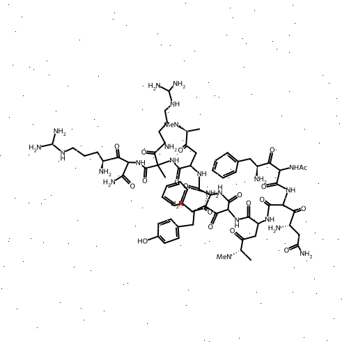 CN[C@@H](C)C(=O)CC(NC(=O)C(NC(=O)C(NC(C)=O)C(=O)[C@@H](N)Cc1ccccc1)C(=O)[C@@H](N)CC(N)=O)C(=O)NC(C(=O)NC(C(=O)NC(CC(=O)[C@H](C)NC)C(=O)NC(C)(C(=O)NC(C(N)=O)C(=O)[C@@H](N)CCCNC(N)N)C(=O)[C@@H](N)CCCNC(N)N)C(=O)[C@@H](N)Cc1ccc(O)cc1)C(=O)[C@@H](N)Cc1ccccc1